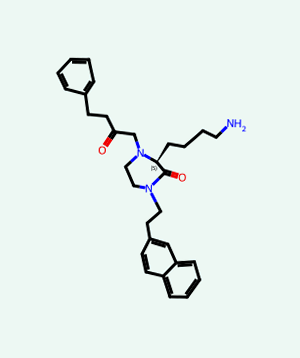 NCCCC[C@H]1C(=O)N(CCc2ccc3ccccc3c2)CCN1CC(=O)CCc1ccccc1